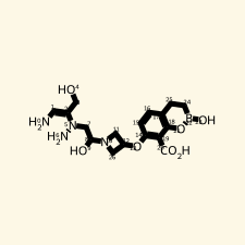 N/C=C(/CO)N(N)CC(O)N1CC(Oc2ccc3c(c2C(=O)O)OB(O)CC3)C1